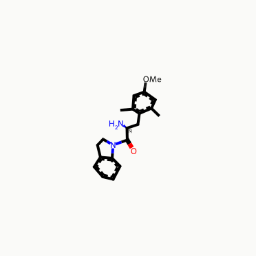 COc1cc(C)c(C[C@H](N)C(=O)N2CCc3ccccc32)c(C)c1